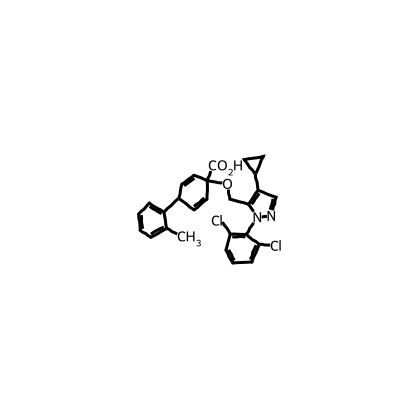 Cc1ccccc1C1C=CC(OCc2c(C3CC3)cnn2-c2c(Cl)cccc2Cl)(C(=O)O)C=C1